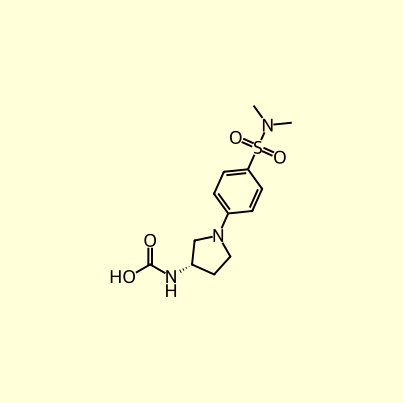 CN(C)S(=O)(=O)c1ccc(N2CC[C@H](NC(=O)O)C2)cc1